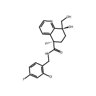 O=C(NCc1ccc(F)cc1Cl)[C@]1(F)CC[C@@](O)(CO)c2ncccc21